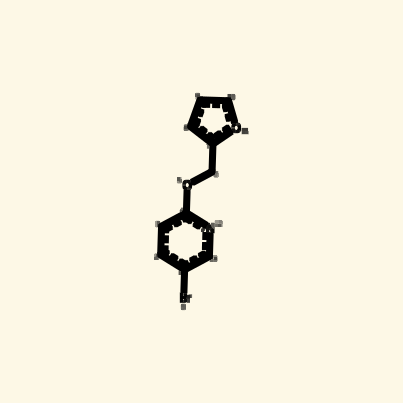 Brc1ccc(OCc2ccco2)nc1